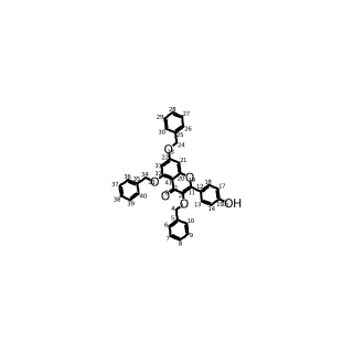 O=c1c(OCc2ccccc2)c(-c2ccc(O)cc2)oc2cc(OCc3ccccc3)cc(OCc3ccccc3)c12